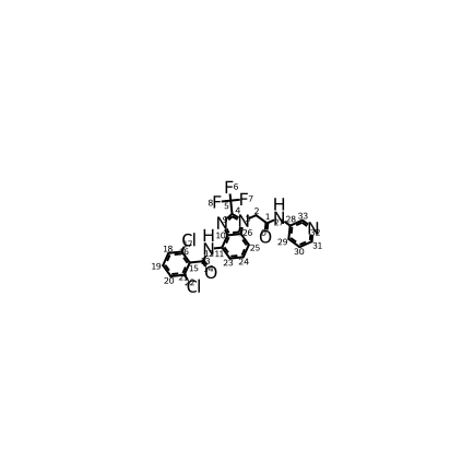 O=C(Cn1c(C(F)(F)F)nc2c(NC(=O)c3c(Cl)cccc3Cl)cccc21)Nc1cccnc1